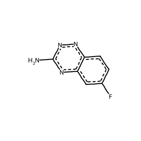 Nc1nnc2ccc(F)cc2n1